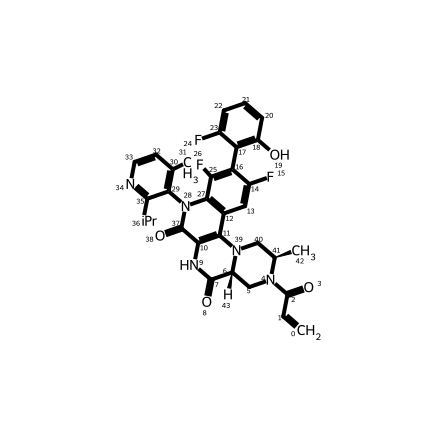 C=CC(=O)N1C[C@@H]2C(=O)Nc3c(c4cc(F)c(-c5c(O)cccc5F)c(F)c4n(-c4c(C)ccnc4C(C)C)c3=O)N2C[C@H]1C